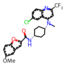 COc1ccc2oc(C(=O)N[C@H]3CC[C@@H](N(C)c4cc(C(F)(F)F)nc5ccc(Cl)cc45)CC3)cc2c1